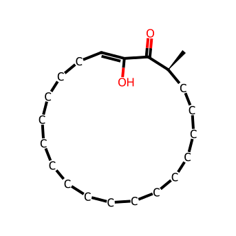 C[C@H]1CCCCCCCCCCCCCCCC/C=C(\O)C1=O